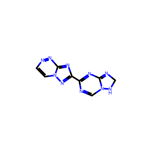 C1=NC(c2nc3nnccn3n2)=NC2=NCNN12